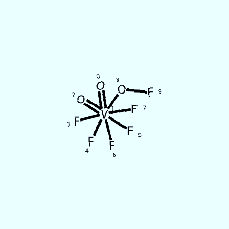 [O]=[V](=[O])([F])([F])([F])([F])([F])[O]F